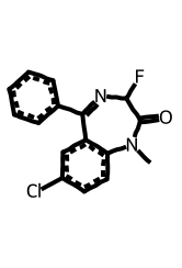 CN1C(=O)C(F)N=C(c2ccccc2)c2cc(Cl)ccc21